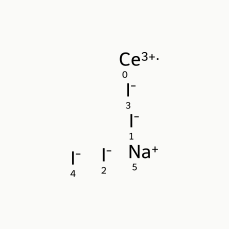 [Ce+3].[I-].[I-].[I-].[I-].[Na+]